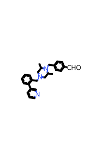 CC1CN(Cc2ccccc2-c2cccnc2)CC(C)N1Cc1ccc(C=O)cc1